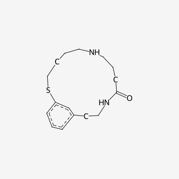 O=C1CCCNCCCCSc2cccc(c2)CCN1